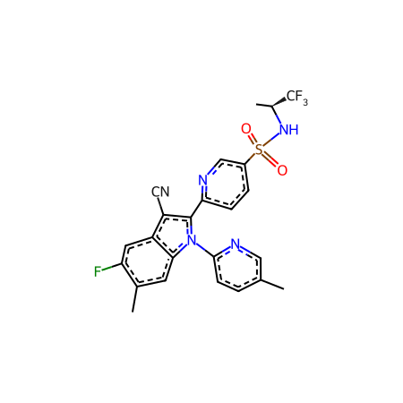 Cc1ccc(-n2c(-c3ccc(S(=O)(=O)N[C@@H](C)C(F)(F)F)cn3)c(C#N)c3cc(F)c(C)cc32)nc1